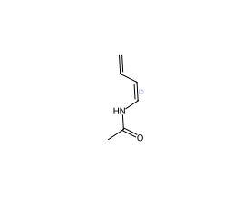 C=C/C=C\NC(C)=O